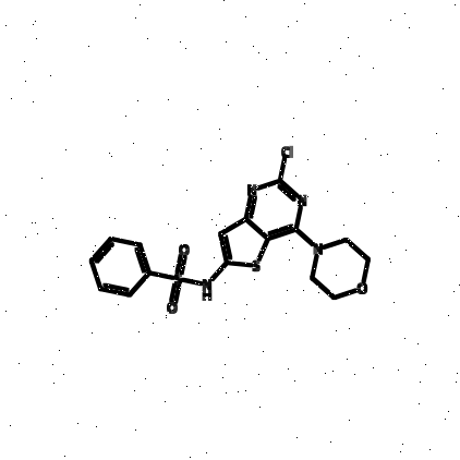 O=S(=O)(Nc1cc2nc(Cl)nc(N3CCOCC3)c2s1)c1ccccc1